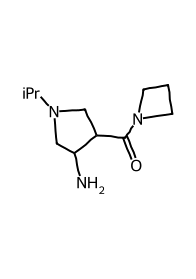 CC(C)N1CC(N)C(C(=O)N2CCC2)C1